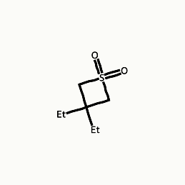 CCC1(CC)CS(=O)(=O)C1